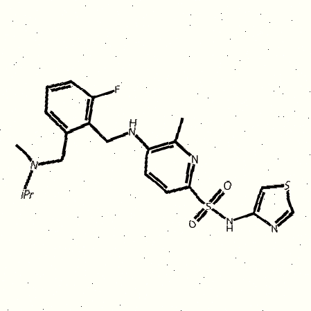 Cc1nc(S(=O)(=O)Nc2cscn2)ccc1NCc1c(F)cccc1CN(C)C(C)C